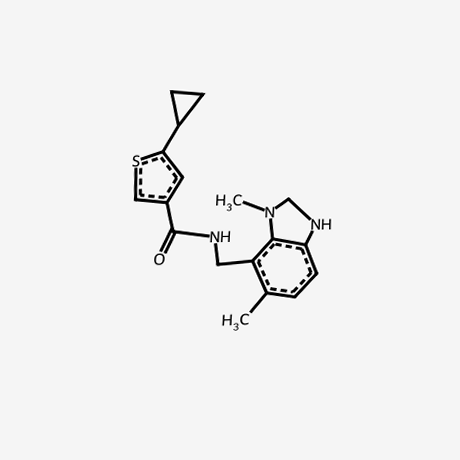 Cc1ccc2c(c1CNC(=O)c1csc(C3CC3)c1)N(C)CN2